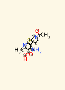 CC(=O)N1CCc2c(sc3nc(C)c(C(=O)O)c(N)c23)C1